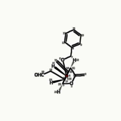 C=C1O[C@@H]2O[C@@H](OCc3ccccc3)[C@H]1C(=C)[C@H]2CC=O